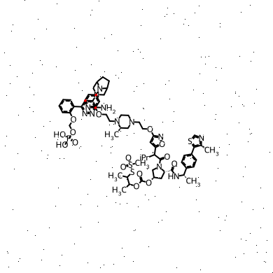 Cc1ncsc1-c1ccc([C@H](C)NC(=O)[C@@H]2C[C@@H](OC(=O)OC(C)C(C)SS(C)(=O)=O)CN2C(=O)C(c2cc(OCCN3CCN(CCOc4cc(N5C6CCC5CN(c5cc(-c7ccccc7OCOP(=O)(O)O)nnc5N)C6)ccn4)[C@H](C)C3)no2)C(C)C)cc1